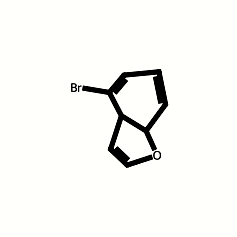 BrC1=CC=CC2OC=CC12